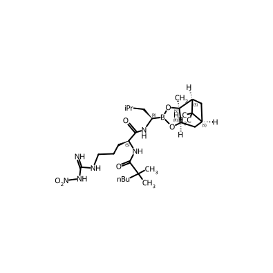 CCCCC(C)(C)C(=O)N[C@@H](CCCNC(=N)N[N+](=O)[O-])C(=O)N[C@@H](CC(C)C)B1O[C@@H]2C[C@@H]3C[C@@H](C3(C)C)[C@]2(C)O1